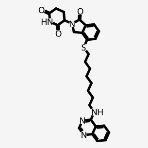 O=C1CCC(N2Cc3c(SCCCCCCCCNc4ncnc5ccccc45)cccc3C2=O)C(=O)N1